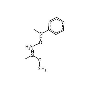 C[SiH](O[SiH3])[SiH2]O[SiH](C)c1ccccc1